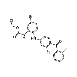 Cc1ccccc1C(=O)c1ccc(Nc2ccc(Br)cc2NC(=O)OCCl)cc1Cl